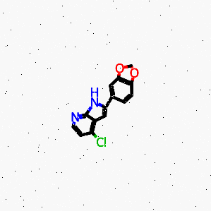 Clc1ccnc2[nH]c(-c3ccc4c(c3)OCO4)cc12